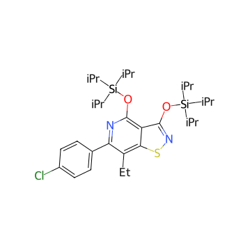 CCc1c(-c2ccc(Cl)cc2)nc(O[Si](C(C)C)(C(C)C)C(C)C)c2c(O[Si](C(C)C)(C(C)C)C(C)C)nsc12